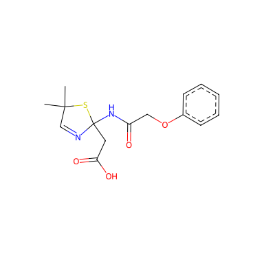 CC1(C)C=NC(CC(=O)O)(NC(=O)COc2ccccc2)S1